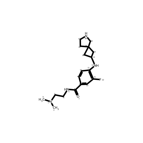 CN(C)CCNC(=O)c1ccc(NC2CC3(CCNC3)C2)c(F)c1